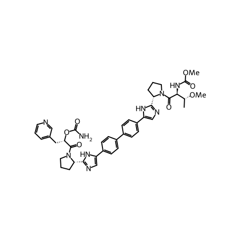 COC(=O)N[C@H](C(=O)N1CCC[C@H]1c1ncc(-c2ccc(-c3ccc(-c4cnc([C@@H]5CCCN5C(=O)[C@H](Cc5cccnc5)OC(N)=O)[nH]4)cc3)cc2)[nH]1)[C@@H](C)OC